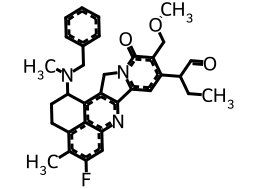 CCC(C=O)c1cc2n(c(=O)c1COC)Cc1c-2nc2cc(F)c(C)c3c2c1C(N(C)Cc1ccccc1)CC3